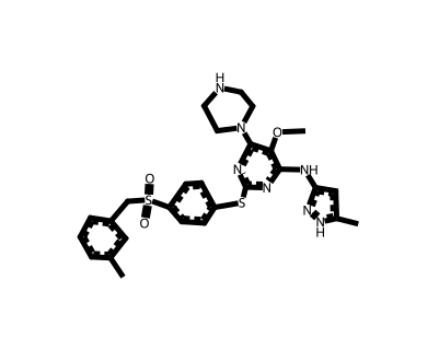 COc1c(Nc2cc(C)[nH]n2)nc(Sc2ccc(S(=O)(=O)Cc3cccc(C)c3)cc2)nc1N1CCNCC1